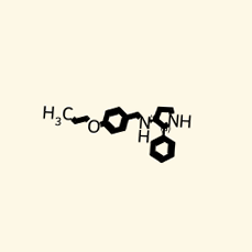 CCCOc1ccc(CN[C@H]2CCN[C@H]2c2ccccc2)cc1